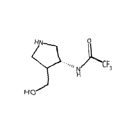 O=C(N[C@H]1CNCC1CO)C(F)(F)F